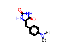 CCN(CC)c1ccc(C=C2NC(=O)NC2=O)cc1